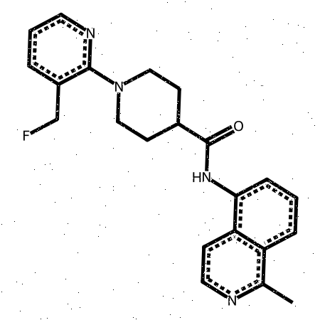 Cc1nccc2c(NC(=O)C3CCN(c4ncccc4CF)CC3)cccc12